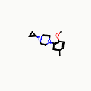 COc1ccc(C)cc1N1CCN(C2CC2)CC1